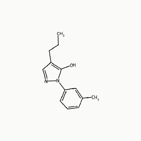 CCCc1cnn(-c2cccc(C)c2)c1O